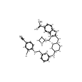 N#Cc1ccc(OCc2cccc(OC3CCN(Cc4nc5ccc(C(=O)O)cc5n4C[C@@H]4CCO4)CC3)n2)c(F)c1